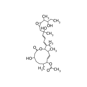 CCC(O)C(C)C1OC1CC(C)(O)/C=C/C=C(\C)C1OC(=O)CC(O)CCC(C)C(OC(C)=O)/C=C/C1C